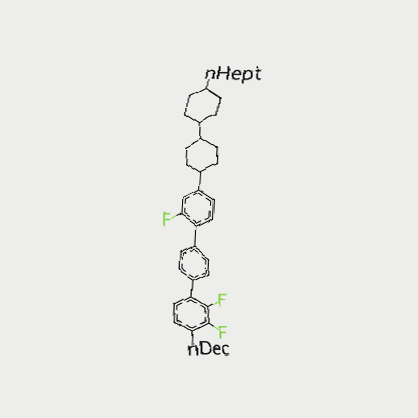 CCCCCCCCCCc1ccc(-c2ccc(-c3ccc(C4CCC(C5CCC(CCCCCCC)CC5)CC4)cc3F)cc2)c(F)c1F